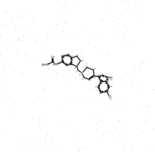 CNC(=O)Nc1ccc2c(c1)C(CN1CC=C(c3c[nH]c4cc(Cl)ccc34)CC1)CC2